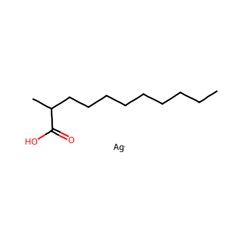 CCCCCCCCCC(C)C(=O)O.[Ag]